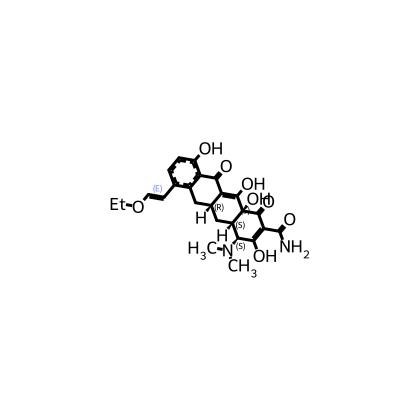 CCO/C=C/c1ccc(O)c2c1C[C@H]1C[C@H]3[C@H](N(C)C)C(O)=C(C(N)=O)C(=O)[C@@]3(O)C(O)=C1C2=O